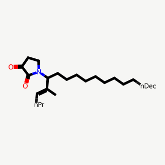 CCCC=C(C)C(CCCCCCCCCCCCCCCCCCC)N1CCC(=O)C1=O